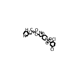 CN(Cc1cccnc1)C(=O)OC1=NOC2(CCN(S(=O)(=O)c3cc(Cl)ccc3Cl)CC2)C1